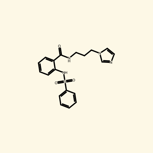 O=C(NCCCn1ccnc1)c1ccccc1NS(=O)(=O)c1ccccc1